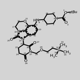 CC(C)(C)OC(=O)N1CCC(Nc2ccc3c4c2OCCn4c(=O)n3C2CCC(=O)N(COCC[Si](C)(C)C)C2=O)CC1